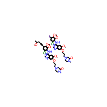 COc1cc2c(Nc3c(Cl)cc(C#CCC(C)OC)c4c3OCO4)ncnc2cc1OCCCN1CCN(C)C(=O)C1.COc1cc2c(Nc3c(Cl)cc(I)c4c3OCO4)ncnc2cc1OCCCN1CCN(C)C(=O)C1